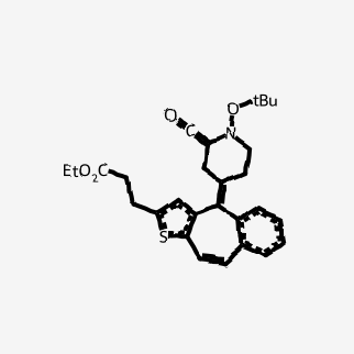 CCOC(=O)CCc1cc2c(s1)C=Cc1ccccc1C2=C1CCN(OC(C)(C)C)C(=C=O)C1